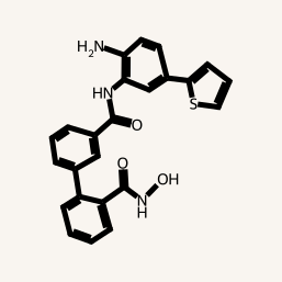 Nc1ccc(-c2cccs2)cc1NC(=O)c1cccc(-c2ccccc2C(=O)NO)c1